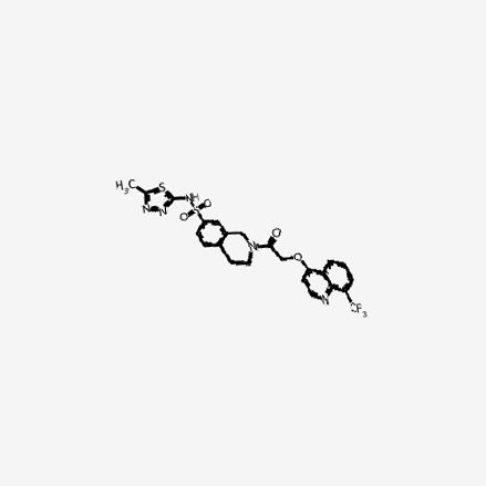 Cc1nnc(NS(=O)(=O)c2ccc3c(c2)CN(C(=O)COc2ccnc4c(C(F)(F)F)cccc24)CC3)s1